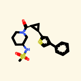 CS(=O)(=O)N[C@H]1CCCN(C(=O)[C@@H]2C[C@H]2c2cc(-c3ccccc3)cs2)C1